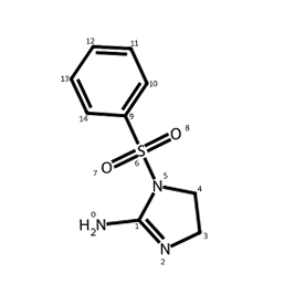 NC1=NCCN1S(=O)(=O)c1ccccc1